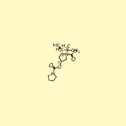 C#C[C@H]1C[C@H](OC(=O)N2CCCC2)C[N+]1(C(=O)[O-])C(C)(C)C